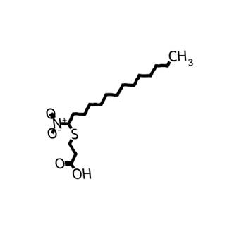 CCCCCCCCCCCCCC(SCCC(=O)O)[N+](=O)[O-]